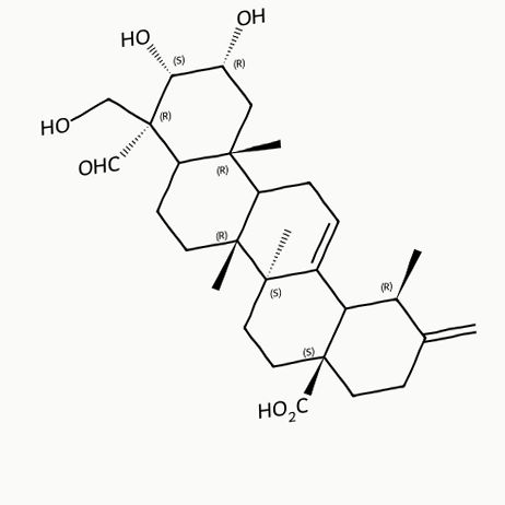 C=C1CC[C@]2(C(=O)O)CC[C@]3(C)C(=CCC4[C@@]5(C)C[C@@H](O)[C@@H](O)[C@](C=O)(CO)C5CC[C@]43C)C2[C@H]1C